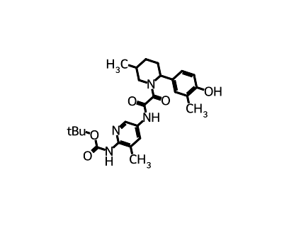 Cc1cc(C2CCC(C)CN2C(=O)C(=O)Nc2cnc(NC(=O)OC(C)(C)C)c(C)c2)ccc1O